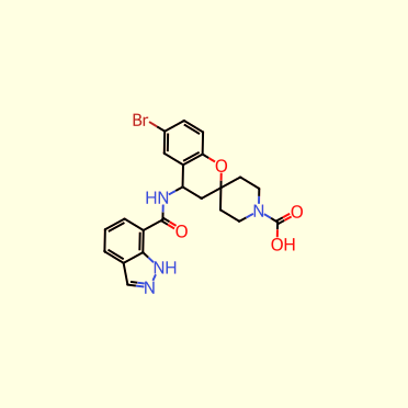 O=C(NC1CC2(CCN(C(=O)O)CC2)Oc2ccc(Br)cc21)c1cccc2cn[nH]c12